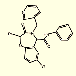 CC(C)C1Oc2ccc(Cl)cc2C(C(=O)Nc2ccccc2)N(Cc2cccnc2)C1=O